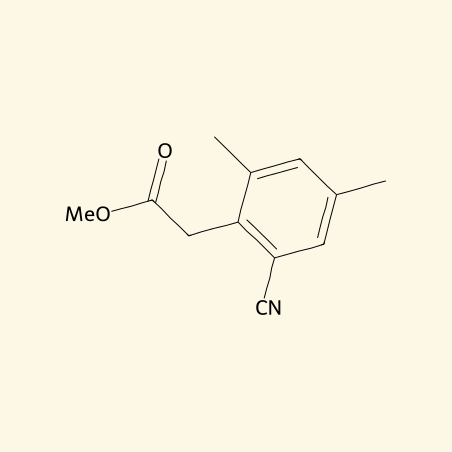 COC(=O)Cc1c(C)cc(C)cc1C#N